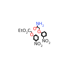 CCOC(=O)COc1cccc([N+](=O)[O-])c1.NC(=O)COc1cccc([N+](=O)[O-])c1